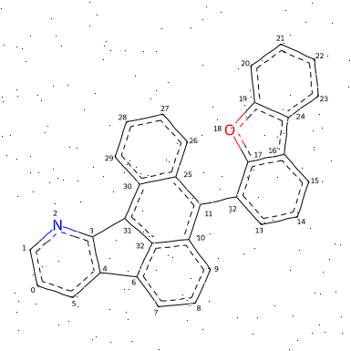 c1cnc2c(c1)-c1cccc3c(-c4cccc5c4oc4ccccc45)c4ccccc4c-2c13